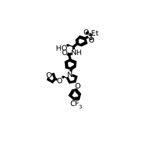 CCS(=O)(=O)c1ccc([C@H](CO)NC(=O)c2ccc(N3C[C@H](Oc4ccc(C(F)(F)F)cc4)C[C@H]3COC3CCOC3)cc2)cc1